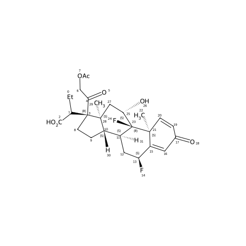 CCC(C(=O)O)[C@]1(C(=O)COC(C)=O)CC[C@H]2[C@@H]3C[C@H](F)C4=CC(=O)C=C[C@]4(C)[C@@]3(F)[C@@H](O)C[C@@]21C